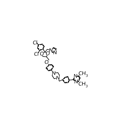 Cc1cc(C)nc(-c2ccc(CN3CCN(c4ccc(OCC5COC(Cn6ccnc6)(c6ccc(Cl)cc6Cl)O5)cc4)CC3)cc2)n1